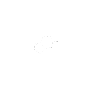 Oc1cn2ncc(O)c2cn1